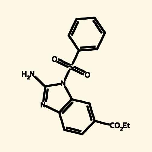 CCOC(=O)c1ccc2nc(N)n(S(=O)(=O)c3ccccc3)c2c1